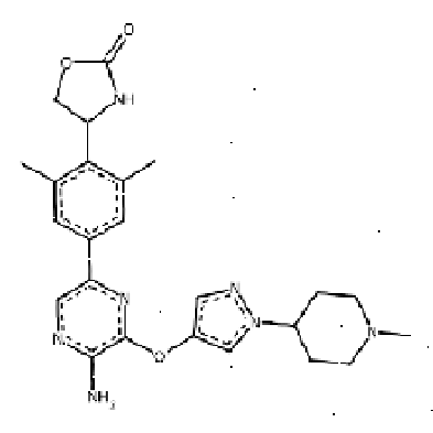 Cc1cc(-c2cnc(N)c(Oc3cnn(C4CCN(C)CC4)c3)n2)cc(C)c1C1COC(=O)N1